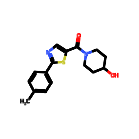 Cc1ccc(-c2ncc(C(=O)N3CCC(O)CC3)s2)cc1